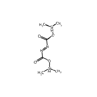 C[SiH](C)OC(=O)N=NC(=O)O[SiH](C)C